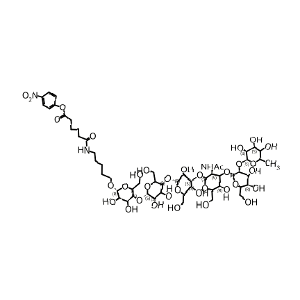 CC(=O)N[C@H]1C(O[C@@H]2OC(CO)[C@H](O)C(O)C2O[C@@H]2OC(C)C(O)[C@H](O)[C@@H]2O)[C@@H](O)C(CO)O[C@H]1O[C@@H]1C(O)[C@@H](O[C@H]2C(CO)O[C@@H](O[C@@H]3C(CO)O[C@@H](OCCCCCNC(=O)CCCCC(=O)Oc4ccc([N+](=O)[O-])cc4)C(O)C3O)[C@@H](O)C2O)OC(CO)[C@@H]1O